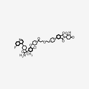 CC(C(N)=O)(c1ccc(Cl)c(OC2CCN(C(=O)CCOCCN3CCN(c4ccc5c(c4)C(=O)N(C4CCC(=O)NC4=O)C5=O)CC3)CC2)c1)C1CCC(c2ccnc3ccc(F)cc23)CC1